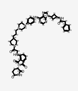 O=C1CC[C@H](N2C(=O)c3cccc(NCC(=O)N4CCC(CCCN5CCN(c6ccc(Nc7ncnc8c7ncn8C7CC(NC(=O)Cc8ccccc8)C7)cc6)CC5)CC4)c3C2=O)C(=O)N1